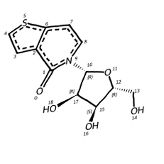 O=c1c2ccsc2ccn1[C@@H]1O[C@H](CO)[C@@H](O)[C@H]1O